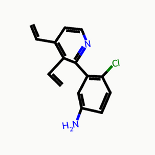 C=Cc1ccnc(-c2cc(N)ccc2Cl)c1C=C